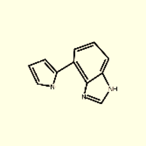 C1=C[N]C(c2cccc3[nH]cnc23)=C1